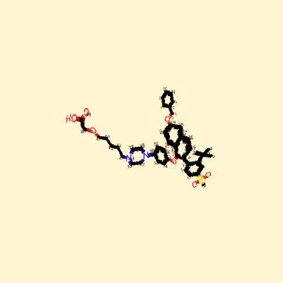 CC(C)(C)c1cc(S(C)(=O)=O)ccc1-c1ccc2cc(OCc3ccccc3)ccc2c1Oc1ccc(N2CCN(CCCCCOCC(=O)O)CC2)cc1